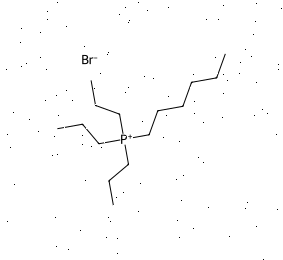 CCCCCC[P+](CCC)(CCC)CCC.[Br-]